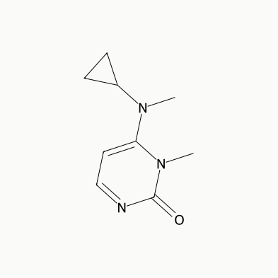 CN(c1ccnc(=O)n1C)C1CC1